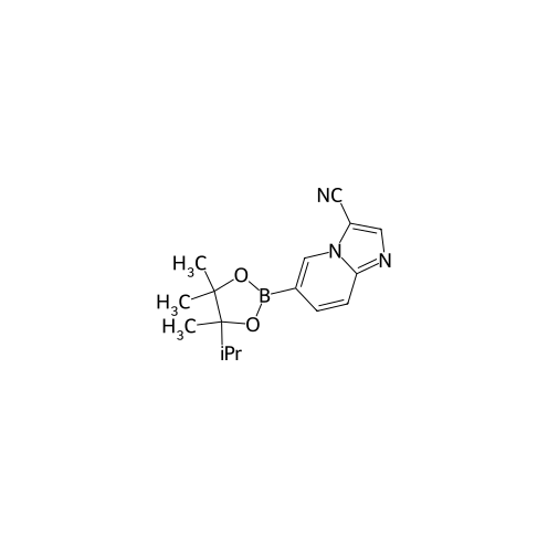 CC(C)C1(C)OB(c2ccc3ncc(C#N)n3c2)OC1(C)C